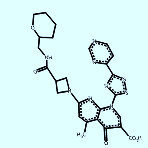 Cc1cc(N2CC(C(=O)NCC3CCCCO3)C2)nc2c1c(=O)c(C(=O)O)cn2-c1nc(-c2ccncn2)ns1